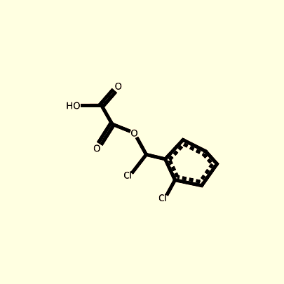 O=C(O)C(=O)OC(Cl)c1ccccc1Cl